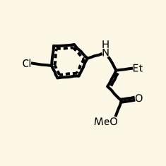 CCC(=CC(=O)OC)Nc1ccc(Cl)cc1